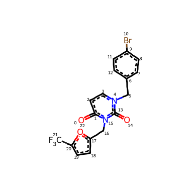 O=c1ccn(Cc2ccc(Br)cc2)c(=O)n1Cc1ccc(C(F)(F)F)o1